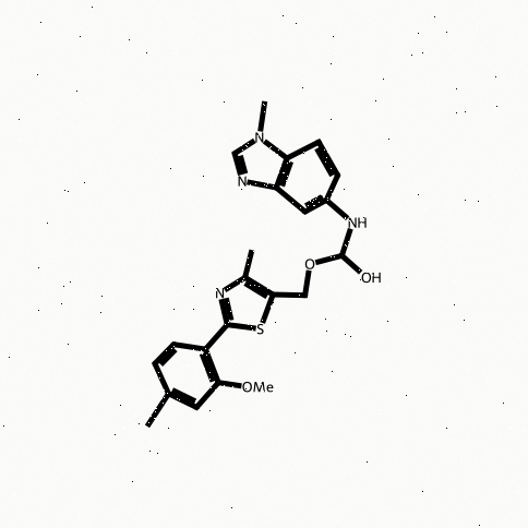 COc1cc(C)ccc1-c1nc(C)c(COC(O)Nc2ccc3c(c2)ncn3C)s1